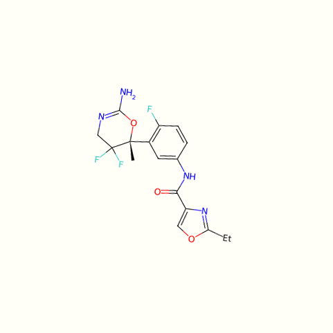 CCc1nc(C(=O)Nc2ccc(F)c([C@@]3(C)OC(N)=NCC3(F)F)c2)co1